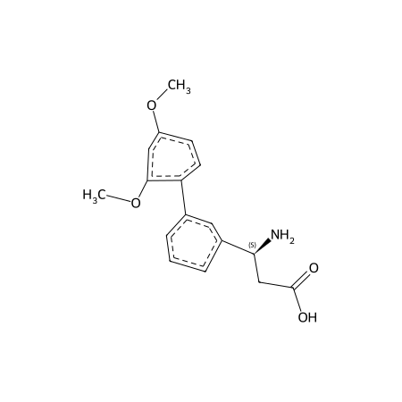 COc1ccc(-c2cccc([C@@H](N)CC(=O)O)c2)c(OC)c1